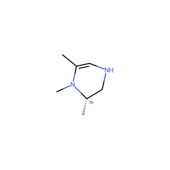 CC1=CNC[C@H](C)N1C